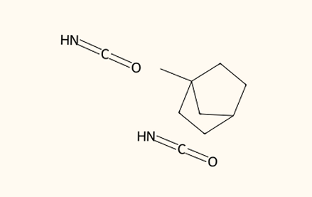 CC12CCC(CC1)C2.N=C=O.N=C=O